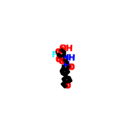 O=C(O)CC(NC(=O)CN1Cc2ccc(-c3ccc4occc4c3)cc2C1=O)C(=O)CF